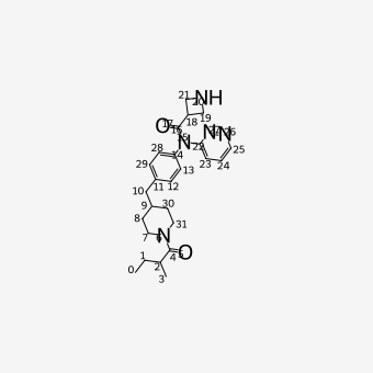 CCC(C)C(=O)N1CCC(Cc2ccc(N(C(=O)C3CNC3)c3cccnn3)cc2)CC1